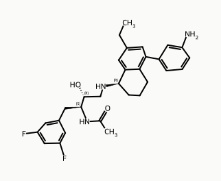 CCc1cc(-c2cccc(N)c2)c2c(c1)[C@H](NC[C@@H](O)[C@H](Cc1cc(F)cc(F)c1)NC(C)=O)CCC2